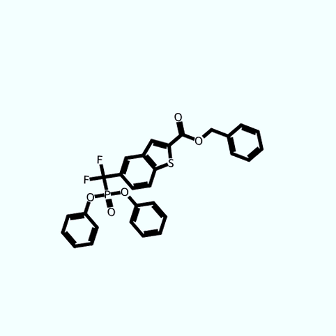 O=C(OCc1ccccc1)c1cc2cc(C(F)(F)P(=O)(Oc3ccccc3)Oc3ccccc3)ccc2s1